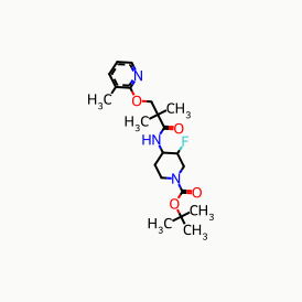 Cc1cccnc1OCC(C)(C)C(=O)NC1CCN(C(=O)OC(C)(C)C)CC1F